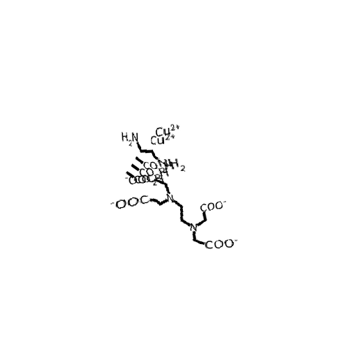 CC(=O)O.CC(=O)O.CC(=O)O.NCCN.O=C([O-])CN(CCN(CC(=O)[O-])CC(=O)[O-])CC(=O)[O-].[Cu+2].[Cu+2]